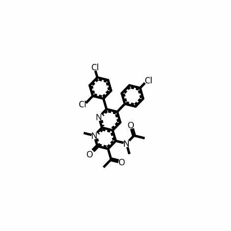 CC(=O)c1c(N(C)C(C)=O)c2cc(-c3ccc(Cl)cc3)c(-c3ccc(Cl)cc3Cl)nc2n(C)c1=O